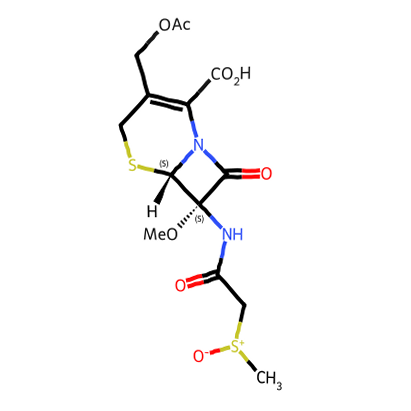 CO[C@@]1(NC(=O)C[S+](C)[O-])C(=O)N2C(C(=O)O)=C(COC(C)=O)CS[C@H]21